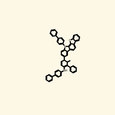 CC1C(c2ccccc2)=C(Nc2ccc(-c3ccccc3)cc2)C=CC1c1ccc2c(c1)c1ccc3c4ccccc4oc3c1n2-c1ccc(-c2ccccc2)cc1